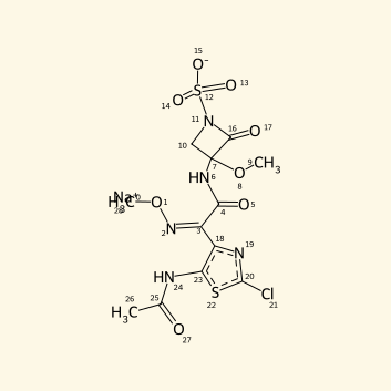 CON=C(C(=O)NC1(OC)CN(S(=O)(=O)[O-])C1=O)c1nc(Cl)sc1NC(C)=O.[Na+]